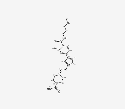 COCCCNC(=O)c1ccc(-c2noc(COC3CCN(C(=O)O)CC3)n2)cc1F